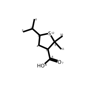 CC(C)C1CC(C(=O)O)C(C)(C)S1